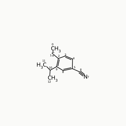 CSc1ccc(C#N)cc1C(C)C